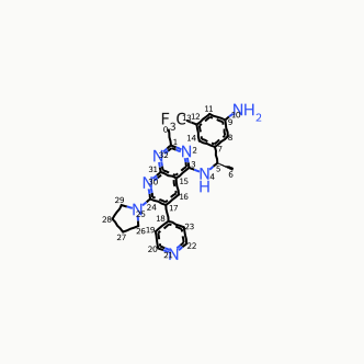 Cc1nc(N[C@H](C)c2cc(N)cc(C(F)(F)F)c2)c2cc(-c3ccncc3)c(N3CCCC3)nc2n1